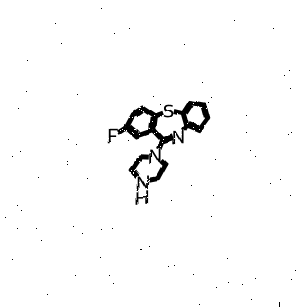 Fc1ccc2c(c1)C(N1CCNCC1)=Nc1ccccc1S2